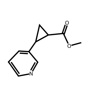 COC(=O)C1CC1c1cccnc1